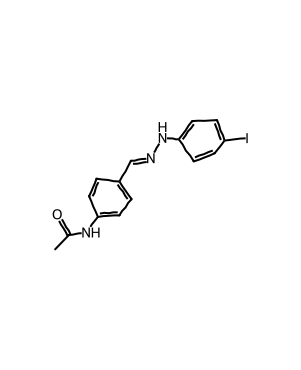 CC(=O)Nc1ccc(C=NNc2ccc(I)cc2)cc1